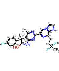 CCc1nc(-c2cn3ccnc3c(CCC(F)(F)C(F)(F)F)n2)nc2c1C(C)(c1ccc(F)cc1)C(O)N2